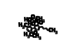 CCCCCc1cc2c(c(O)c1C(=O)N(C)CC(=O)O)-c1cc(C)ccc1C(C)(C)O2